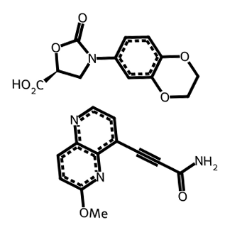 COc1ccc2nccc(C#CC(N)=O)c2n1.O=C(O)[C@@H]1CN(c2ccc3c(c2)OCCO3)C(=O)O1